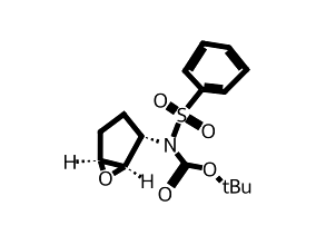 CC(C)(C)OC(=O)N([C@H]1CC[C@@H]2O[C@@H]21)S(=O)(=O)c1ccccc1